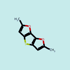 Cc1cc2sc3cc(C)oc3c2o1